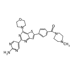 CN1CCN(C(=O)c2ccc(-c3cc4nc(-c5cnc(N)nc5)nc(N5CCOCC5)c4s3)cc2)CC1